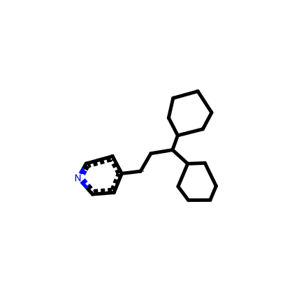 [CH](CC(C1CCCCC1)C1CCCCC1)c1ccncc1